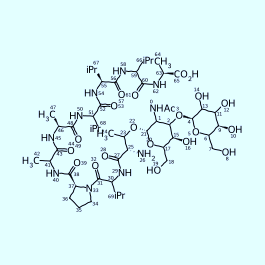 CC(=O)NC1C(O[C@@H]2OC(CO)[C@H](O)C(O)C2O)[C@@H](O)C(CO)O[C@@H]1OC(C)[C@H](N)C(=O)NC(C(=O)N1CCC[C@H]1C(=O)NC(C)C(=O)N[C@@H](C)C(=O)NC(C(=O)N[C@H](C(=O)NC(C(=O)N[C@@H](C)C(=O)O)C(C)C)C(C)C)C(C)C)C(C)C